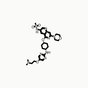 CN(C)CCOc1cnc(N[C@H]2CC[C@@H](Oc3nc(N4CCOCC4)cc4ncc(NS(C)(=O)=O)cc34)CC2)nc1